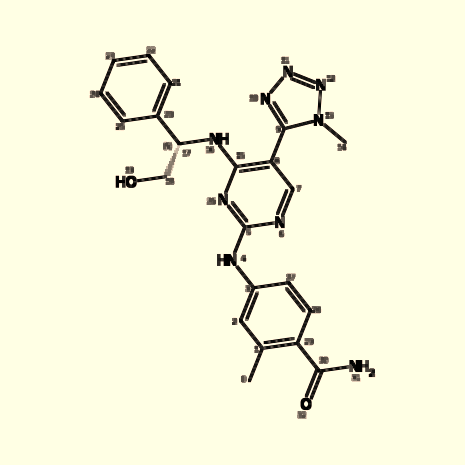 Cc1cc(Nc2ncc(-c3nnnn3C)c(N[C@H](CO)c3ccccc3)n2)ccc1C(N)=O